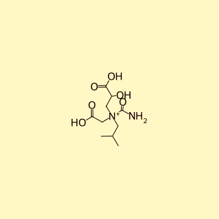 CC(C)C[N+](CC(=O)O)(CC(O)C(=O)O)C(N)=O